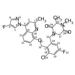 Cc1cc(-n2cc(F)cn2)c2cccc(OCc3c(Cl)cc(F)cc3CN3CC(=O)N(C)C(C)C3=O)c2n1